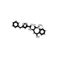 CN1C(=O)C(NC(=O)c2cc(Cc3ccccc3)on2)CC(O)c2ccccc21